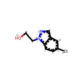 CCc1[c]cc2c(cnn2CCO)c1